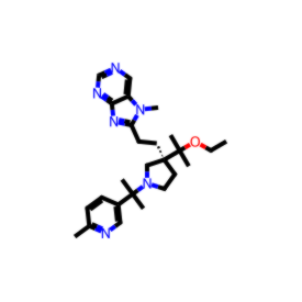 CCOC(C)(C)[C@@]1(CCc2nc3ncncc3n2C)CCN(C(C)(C)c2ccc(C)nc2)C1